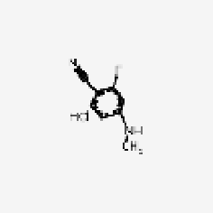 CNc1ccc(C#N)c(F)c1.Cl